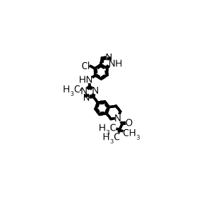 Cn1nc(-c2ccc3c(c2)CCN(C(=O)C(C)(C)C)C3)nc1Nc1ccc2[nH]ncc2c1Cl